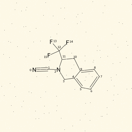 N#CN1Cc2ccccc2CC1C(F)(F)F